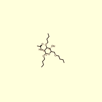 CCCCOCC1O[C@@H](OCCCC)[C@@H](NC(C)=O)C(OCCCC)[C@@H]1O